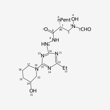 CCCCC[C@H](CN(O)C=O)C(=O)NNc1nc(CC)nc(N2CCCC(O)C2)n1